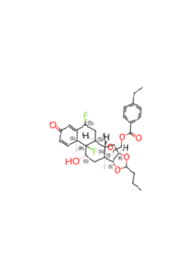 CCCC1O[C@@H]2C[C@H]3[C@@H]4C[C@H](F)C5=CC(=O)C=C[C@]5(C)[C@@]4(F)[C@@H](O)C[C@]3(C)[C@]2(C(=O)COC(=O)c2ccc(CC)cc2)O1